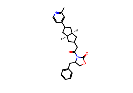 Cc1cc(C2C[C@H]3CC(CC(=O)N4C(=O)OC[C@H]4Cc4ccccc4)C[C@H]3C2)ccn1